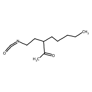 CCCCCC(CCN=C=O)C(C)=O